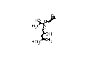 C=C(CC(O)COC(OCC1CO1)C(C)O)C(=O)O